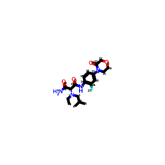 CCN(CC(C)C)[C@H](C(N)=O)C(=O)Nc1ccc(N2CCOCC2=O)cc1F